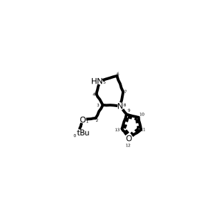 CC(C)(C)OCC1CNCCN1c1ccoc1